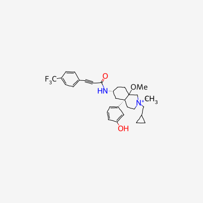 COC12CC[C@@H](NC(=O)C#Cc3ccc(C(F)(F)F)cc3)C[C@]1(c1cccc(O)c1)CC[N@+](C)(CC1CC1)C2